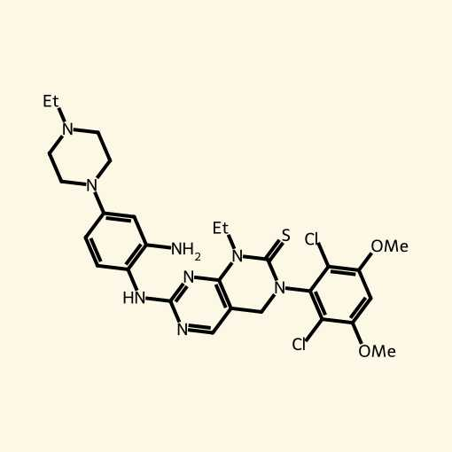 CCN1CCN(c2ccc(Nc3ncc4c(n3)N(CC)C(=S)N(c3c(Cl)c(OC)cc(OC)c3Cl)C4)c(N)c2)CC1